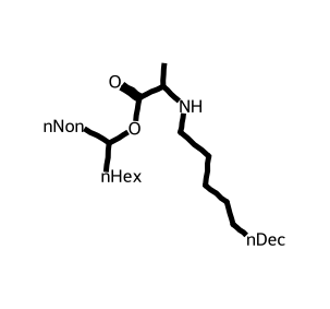 CCCCCCCCCCCCCCCNC(C)C(=O)OC(CCCCCC)CCCCCCCCC